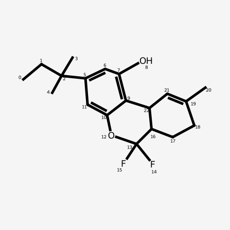 CCC(C)(C)c1cc(O)c2c(c1)OC(F)(F)C1CCC(C)=CC21